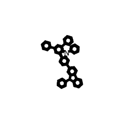 c1ccc(-c2cc(-c3ccccc3)c3c(c2)c2ccc(-c4ccc5c(c4)C(c4ccccc4)c4ccccc4-5)cc2n3-c2ccccc2)cc1